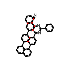 N#Cc1ccc(-c2ccc(-c3cccc4cccc(-c5ccc(-c6nc(-c7ccccc7)nc(-c7ccccc7)n6)cc5)c34)cc2)cc1